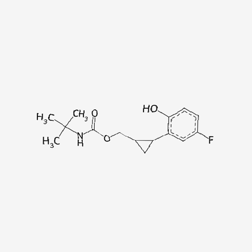 CC(C)(C)NC(=O)OCC1CC1c1cc(F)ccc1O